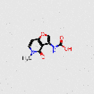 Cn1ccc2occ(NC(=O)O)c2c1=O